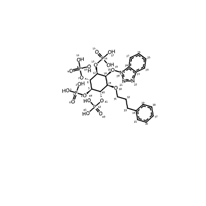 O=P(O)(O)O[C@H]1[C@H](OP(=O)(O)O)[C@@H](OP(=O)(O)O)[C@@H](On2nnc3ccccc32)[C@@H](OCCCc2ccccc2)[C@@H]1OP(=O)(O)O